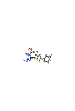 Cc1cccc(-c2csc([C@@]3(C)CC(=N)N(C)C(=O)C3)c2)c1